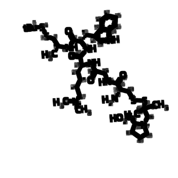 C[C@H](CSSC(C)(C)C)NC(=O)[C@H](Cc1c[nH]c2ccccc12)NC(=O)[C@H](CCCCN(C)C)NC(=O)CNC(=O)[C@@H](N)CSSC(C)(C)CN1CCCC1C(=O)O